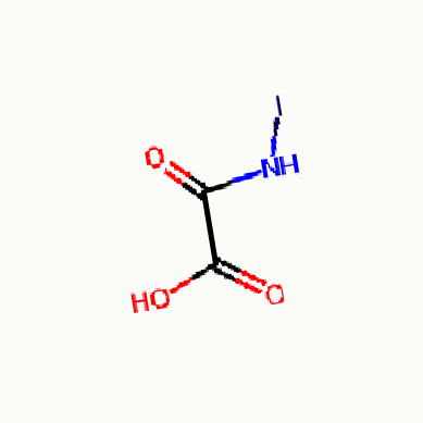 O=C(O)C(=O)NI